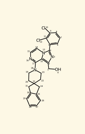 OCc1nc(-c2cccc(Cl)c2Cl)n2ccnc(N3CCC4(CC3)Cc3ccccc3C4)c12